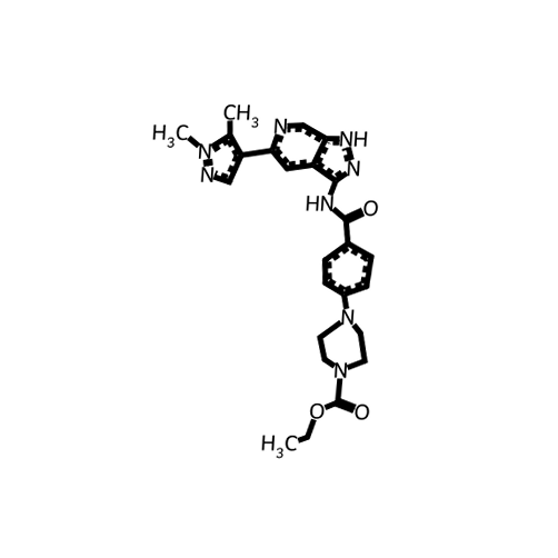 CCOC(=O)N1CCN(c2ccc(C(=O)Nc3n[nH]c4cnc(-c5cnn(C)c5C)cc34)cc2)CC1